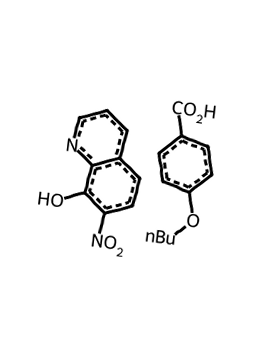 CCCCOc1ccc(C(=O)O)cc1.O=[N+]([O-])c1ccc2cccnc2c1O